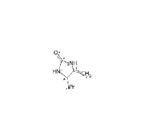 C=C1NC(=O)NC1C(C)C